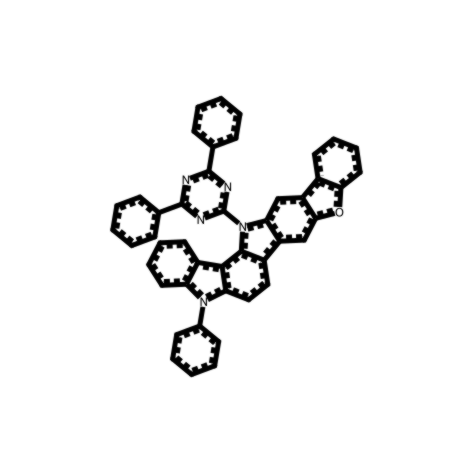 c1ccc(-c2nc(-c3ccccc3)nc(-n3c4cc5c(cc4c4ccc6c(c7ccccc7n6-c6ccccc6)c43)oc3ccccc35)n2)cc1